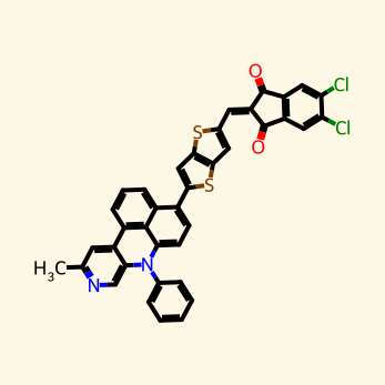 Cc1cc2c(cn1)N(c1ccccc1)c1ccc(-c3cc4sc(C=C5C(=O)c6cc(Cl)c(Cl)cc6C5=O)cc4s3)c3cccc-2c13